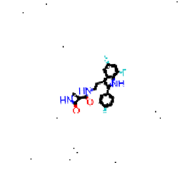 O=C(NCCc1c(-c2ccc(F)cc2)[nH]c2c(F)cc(F)cc12)C1CNC1=O